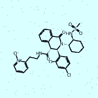 CS(=O)(=O)N[C@H]1CCCC[C@@H]1N1C(=O)c2ccccc2[C@@H](C(=O)NCCc2cccc[n+]2[O-])[C@@H]1c1ccc(Cl)cc1Cl